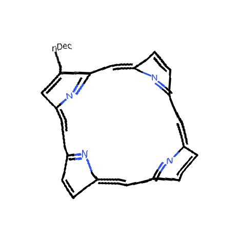 CCCCCCCCCCC1=CC2=CC3=NC(=CC4=NC(=CC5=NC(=CC1=N2)C=C5)C=C4)C=C3